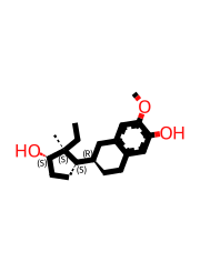 CC[C@]1(C)[C@@H](O)CC[C@H]1[C@@H]1CCc2cc(O)c(OC)cc2C1